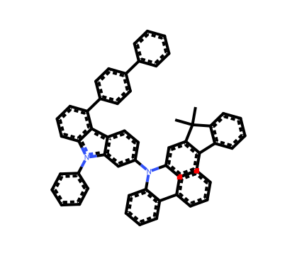 CC1(C)c2ccccc2-c2ccc(N(c3ccc4c5c(-c6ccc(-c7ccccc7)cc6)cccc5n(-c5ccccc5)c4c3)c3ccccc3-c3ccccc3)cc21